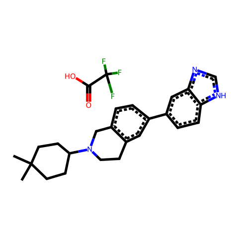 CC1(C)CCC(N2CCc3cc(-c4ccc5[nH]cnc5c4)ccc3C2)CC1.O=C(O)C(F)(F)F